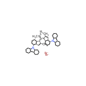 CC1=Cc2c(cccc2-n2c3ccccc3c3ccccc32)[CH]1[Zr+2]([CH]1C(C)=Cc2c1cccc2-n1c2ccccc2c2ccccc21)=[Si](C)C.[Br-].[Br-]